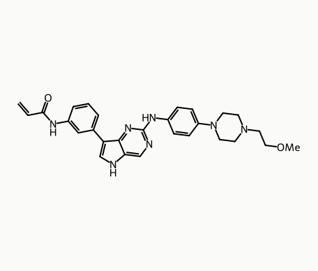 C=CC(=O)Nc1cccc(-c2c[nH]c3cnc(Nc4ccc(N5CCN(CCOC)CC5)cc4)nc23)c1